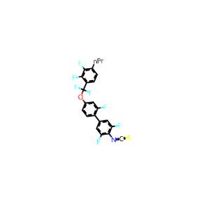 CCCc1ccc(C(F)(F)Oc2ccc(-c3cc(F)c(N=C=S)c(F)c3)c(F)c2)c(F)c1F